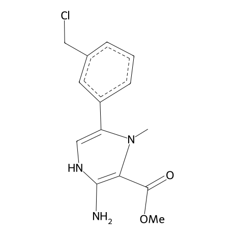 COC(=O)C1=C(N)NC=C(c2cccc(CCl)c2)N1C